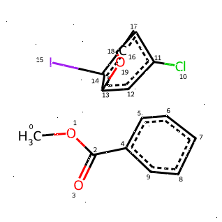 COC(=O)c1ccccc1.Clc1cc2c(I)cc1CO2